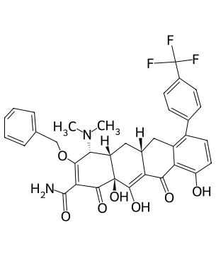 CN(C)[C@H]1C(OCc2ccccc2)=C(C(N)=O)C(=O)[C@@]2(O)C(O)=C3C(=O)c4c(O)ccc(-c5ccc(C(F)(F)F)cc5)c4C[C@H]3C[C@@H]12